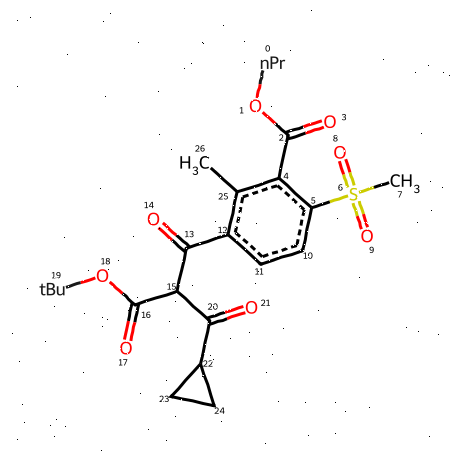 CCCOC(=O)c1c(S(C)(=O)=O)ccc(C(=O)C(C(=O)OC(C)(C)C)C(=O)C2CC2)c1C